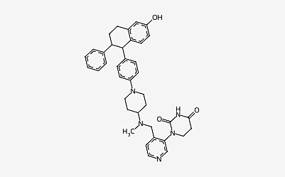 CN(Cc1ccncc1N1CCC(=O)NC1=O)C1CCN(c2ccc(C3c4ccc(O)cc4CCC3c3ccccc3)cc2)CC1